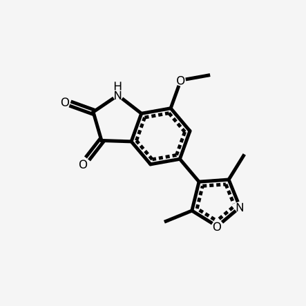 COc1cc(-c2c(C)noc2C)cc2c1NC(=O)C2=O